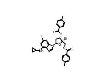 CC[C@]1(COC(=O)c2ccc(C)cc2)O[C@@H](n2cnc3c(NC4CC4)nc(F)nc32)C[C@@H]1OC(=O)c1ccc(C)cc1